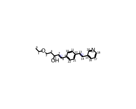 CCOCCC(O)/C=C/c1ccc(/C=C/c2cccnc2)cc1